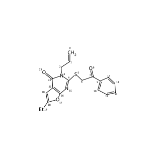 C=CCn1c(SCC(=O)c2ccccc2)nc2oc(CC)cc2c1=O